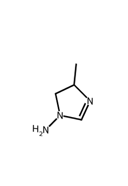 CC1CN(N)C=N1